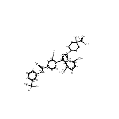 CC1(C(=O)O)CCC(c2nc(-c3ccc(C(=O)Nc4cc(C(F)(F)F)ccn4)cc3F)c3c(N)ncc(Cl)n23)CC1